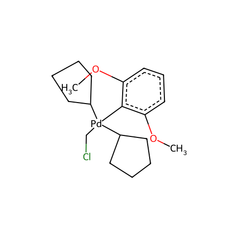 COc1cccc(OC)[c]1[Pd]([CH2]Cl)([CH]1CCCC1)[CH]1CCCC1